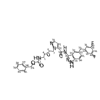 O=C(NCCOCCn1nccc1C(=O)Nc1n[nH]c2ccc(Cc3cc(F)cc(F)c3)cc12)OCc1ccccc1